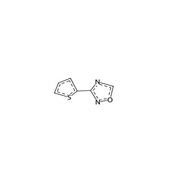 c1csc(-c2ncon2)c1